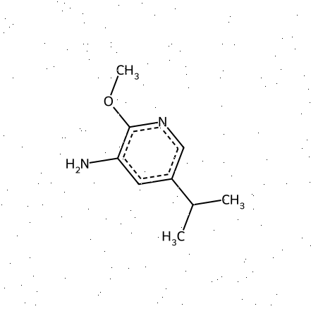 COc1ncc(C(C)C)cc1N